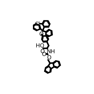 O=C(NC(Cc1ccc(OC(c2ccccc2)(c2ccccc2)c2ccccc2Cl)cc1)C(=O)O)OCC1c2ccccc2-c2ccccc21